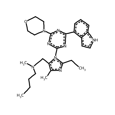 CCCCN(C)Cc1c(C)nc(CC)n1-c1nc(-c2cccc3[nH]ccc23)nc(N2CCOCC2)n1